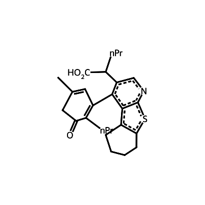 CCCC1=C(c2c(C(CCC)C(=O)O)cnc3sc4c(c23)CCCC4)C=C(C)CC1=O